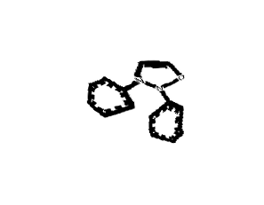 [C]1=[C]N(c2ccccc2)N(c2ccccc2)O1